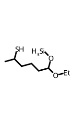 CCOC(CCCC(C)S)O[SiH3]